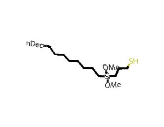 CCCCCCCCCCCCCCCCCC[Si](CCCS)(OC)OC